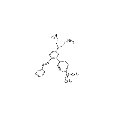 CN(C)c1ccc(-c2cc(N(CCN)CCN)ccc2N=Nc2ccccc2)cc1